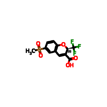 CS(=O)(=O)c1ccc2c(c1)C=C(C(=O)O)[C@@H](C(F)(F)F)O2